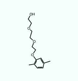 Cc1ccc(C)c(OCCOCCOCCO)c1